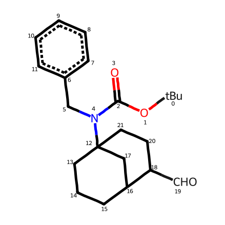 CC(C)(C)OC(=O)N(Cc1ccccc1)C12CCCC(C1)C(C=O)CC2